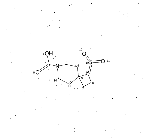 O=C(O)N1CCC2(CCC2=S(=O)=O)CC1